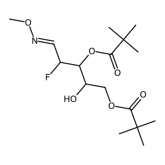 CON=CC(F)C(OC(=O)C(C)(C)C)C(O)COC(=O)C(C)(C)C